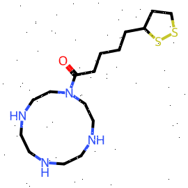 O=C(CCCCC1CCSS1)N1CCNCCNCCNCC1